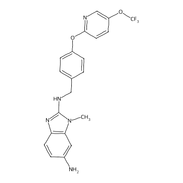 Cn1c(NCc2ccc(Oc3ccc(OC(F)(F)F)cn3)cc2)nc2ccc(N)cc21